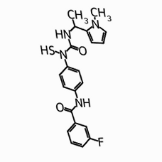 CC(NC(=O)N(S)c1ccc(NC(=O)c2cccc(F)c2)cc1)c1cccn1C